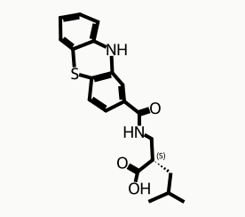 CC(C)C[C@@H](CNC(=O)c1ccc2c(c1)Nc1ccccc1S2)C(=O)O